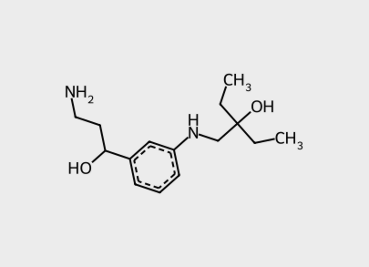 CCC(O)(CC)CNc1cccc(C(O)CCN)c1